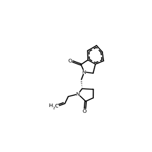 C=CCN1C(=O)CC[C@H]1CN1Cc2ccccc2C1=O